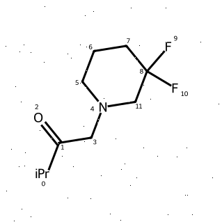 CC(C)C(=O)CN1CCCC(F)(F)C1